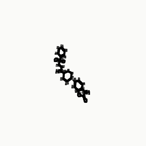 O=c1[nH]c2ccc([C@H]3CC[C@H](NCCS(=O)(=O)c4ccccc4)CC3)cc2o1